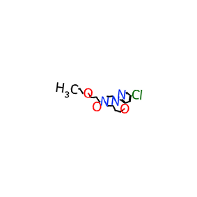 CCCOCCC(=O)N1CCN2c3ncc(Cl)cc3OCCC2C1